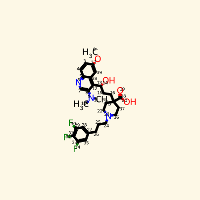 COc1ccc2ncc(N(C)C)c(C(O)CCC3(C(=O)O)CCN(CCCc4cc(F)c(F)c(F)c4)CC3)c2c1